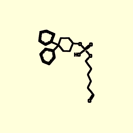 O=CCCCCCOP(=O)(O)OC1CCC(c2ccccc2)(c2ccccc2)CC1